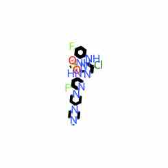 CN1CCN(C2CCN(c3ncc(Nc4ncc(Cl)c(Nc5ccc(F)cc5NS(C)(=O)=O)n4)cc3F)CC2)CC1